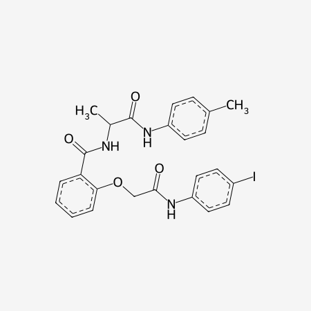 Cc1ccc(NC(=O)C(C)NC(=O)c2ccccc2OCC(=O)Nc2ccc(I)cc2)cc1